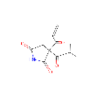 C=CC(=O)C1(C(=O)C(=C)C)CC(=O)NC1=O